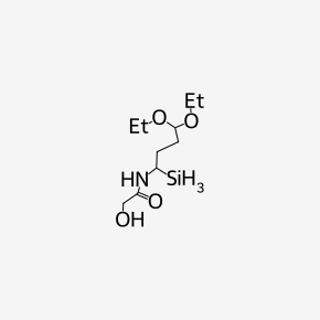 CCOC(CCC([SiH3])NC(=O)CO)OCC